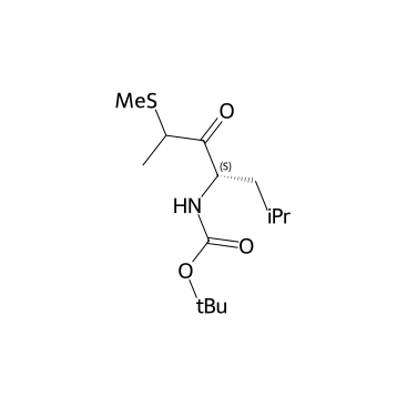 CSC(C)C(=O)[C@H](CC(C)C)NC(=O)OC(C)(C)C